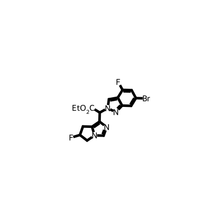 CCOC(=O)C(c1ncn2c1CC(F)C2)n1cc2c(F)cc(Br)cc2n1